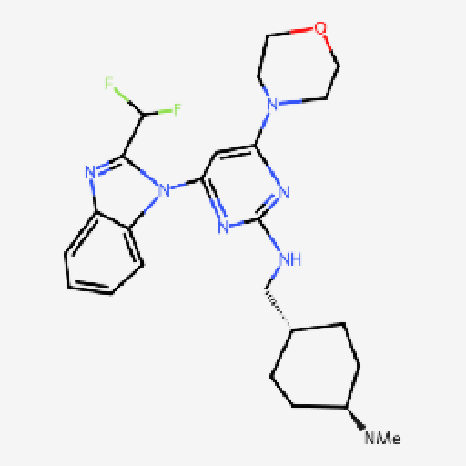 CN[C@H]1CC[C@H](CNc2nc(N3CCOCC3)cc(-n3c(C(F)F)nc4ccccc43)n2)CC1